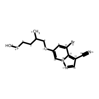 CC(CCSO)COc1cc(Br)c2c(C#N)cnn2c1